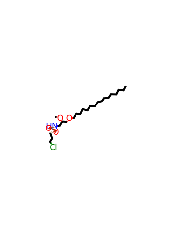 CCCCCCCCCCCCCCCCOCC(CNS(=O)(=O)CCCCl)OC